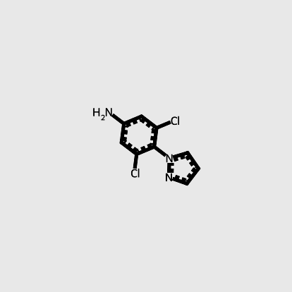 Nc1cc(Cl)c(-n2cccn2)c(Cl)c1